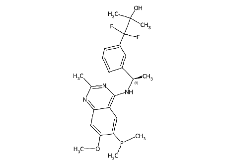 COc1cc2nc(C)nc(N[C@H](C)c3cccc(C(F)(F)C(C)(C)O)c3)c2cc1P(C)C